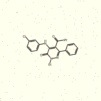 CCCC(=O)c1c(-c2ccccc2)nn(CC)c(=O)c1Nc1cccc(Cl)c1